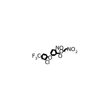 O=C(OCC[N+](=O)[O-])c1cc(Oc2ccc(C(F)(F)F)cc2Cl)ccc1[N+](=O)[O-]